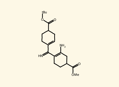 COC(=O)C1CCC(C(=N)C2=CCC(C(=O)OC(C)(C)C)CC2)=C(N)C1